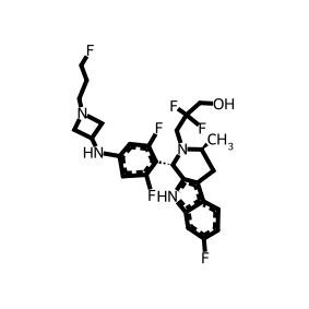 C[C@H]1Cc2c([nH]c3cc(F)ccc23)[C@H](c2c(F)cc(NC3CN(CCCF)C3)cc2F)N1CC(F)(F)CO